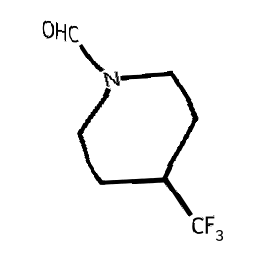 O=CN1CCC(C(F)(F)F)CC1